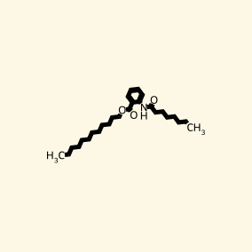 CCCCCCCCCCCCOC(=O)c1ccccc1NC(=O)CCCCCCC